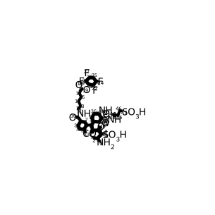 Nc1ccc2c(-c3cc(C(=O)NCCCCCC(=O)Oc4c(F)c(F)cc(F)c4F)ccc3C(=O)O)c3ccc(N)c(S(=O)(=O)NCCCS(=O)(=O)O)c3[o+]c2c1S(=O)(=O)O